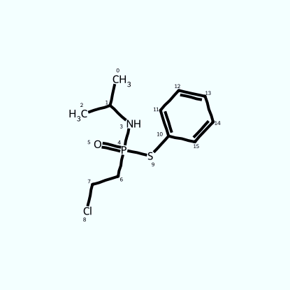 CC(C)NP(=O)(CCCl)Sc1ccccc1